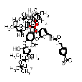 CN(C(=O)OC(C)(C)C)[C@@H]1[C@@H](O)[C@@H](O[C@@H]2[C@@H](O)[C@H](O[C@H]3OC(CNC(=O)OCc4ccc([N+](=O)[O-])cc4)=CC[C@H]3N/C(=N/C(=O)OC(C)(C)C)NC(=O)OC(C)(C)C)[C@@H](NC(=O)OC(C)(C)C)C[C@H]2NC(=O)CC(C)(C)C)OC[C@]1(C)O